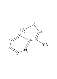 N#CC1=CCNc2cccnc21